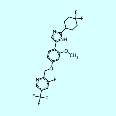 COc1cc(OCc2ncc(C(F)(F)F)cc2F)ccc1-c1cnc(C2CCC(F)(F)CC2)[nH]1